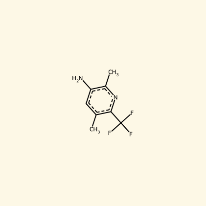 Cc1cc(N)c(C)nc1C(F)(F)F